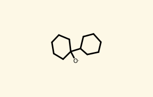 [O]C1(C2CCCCC2)CCCCC1